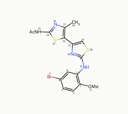 COc1ccc(Br)cc1Nc1nc(-c2sc(NC(C)=O)nc2C)cs1